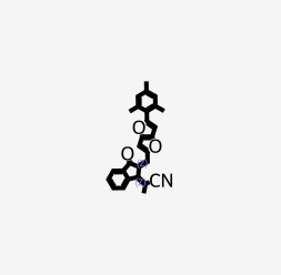 C/C(C#N)=C1/C(=C/c2cc3oc(-c4c(C)cc(C)cc4C)cc3o2)C(=O)c2ccccc21